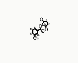 O=C(ON1C(=O)CCC1=O)c1cccc(O)c1